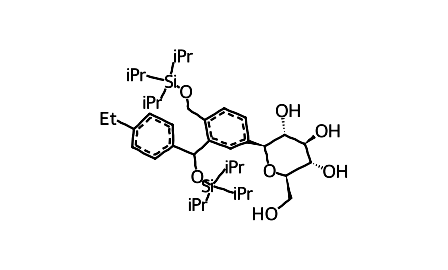 CCc1ccc(C(O[Si](C(C)C)(C(C)C)C(C)C)c2cc([C@@H]3O[C@H](CO)[C@@H](O)[C@H](O)[C@H]3O)ccc2CO[Si](C(C)C)(C(C)C)C(C)C)cc1